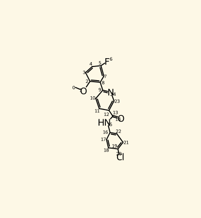 COc1ccc(F)cc1-c1ccc(C(=O)Nc2ccc(Cl)cc2)cn1